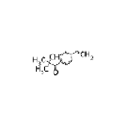 C=Cc1ccc(C(=O)C(C)(C)C)cc1